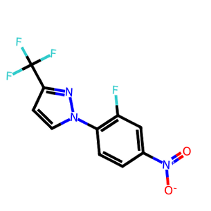 O=[N+]([O-])c1ccc(-n2ccc(C(F)(F)F)n2)c(F)c1